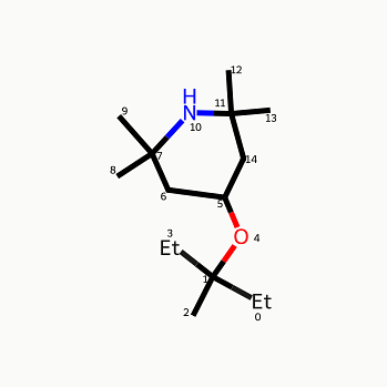 CCC(C)(CC)OC1CC(C)(C)NC(C)(C)C1